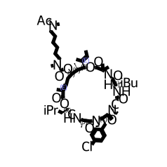 C/C=C(\C)[C@H]1OC(=O)C(C)(C)NC(=O)[C@H](C(C)CC)NC(=O)CN(C)C(=O)[C@@H](Cc2ccc(Cl)cc2)N(C)C(=O)[C@H](C)NC[C@@H](CC(C)C)OC(=O)/C(C)=C/C[C@H](OC(=O)N(C)CCCCCCN(C)C(C)=O)[C@@H]1C